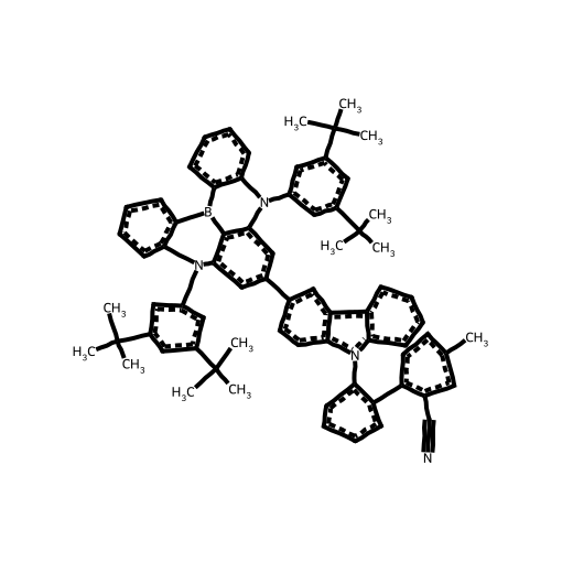 Cc1ccc(-c2ccccc2-n2c3ccccc3c3cc(-c4cc5c6c(c4)N(c4cc(C(C)(C)C)cc(C(C)(C)C)c4)c4ccccc4B6c4ccccc4N5c4cc(C(C)(C)C)cc(C(C)(C)C)c4)ccc32)c(C#N)c1